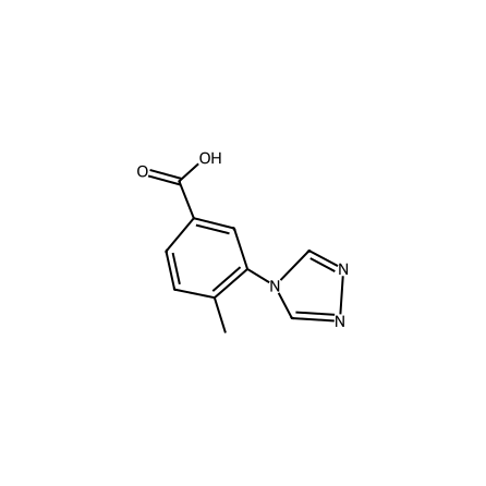 Cc1ccc(C(=O)O)cc1-n1cnnc1